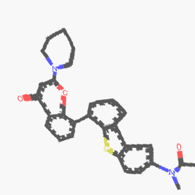 CN(C(=O)CCl)c1ccc2sc3c(-c4cccc5c(=O)cc(N6CCCCC6)oc45)cccc3c2c1